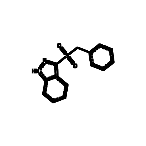 O=S(=O)(Cc1ccccc1)c1n[nH]c2ccccc12